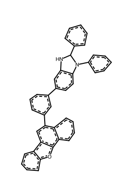 c1ccc(C2Nc3cc(-c4cccc(-c5cc6c7ccccc7oc6c6ccccc56)c4)ccc3N2c2ccccc2)cc1